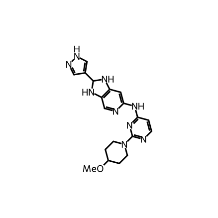 COC1CCN(c2nccc(Nc3cc4c(cn3)NC(c3cn[nH]c3)N4)n2)CC1